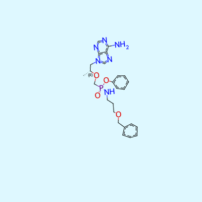 C[C@H](Cn1cnc2c(N)ncnc21)OCP(=O)(NCCCOCc1ccccc1)Oc1ccccc1